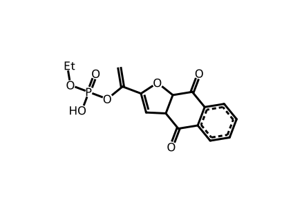 C=C(OP(=O)(O)OCC)C1=CC2C(=O)c3ccccc3C(=O)C2O1